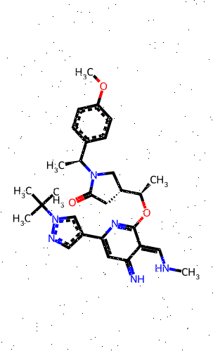 CN/C=C1\C(=N)C=C(c2cnn(C(C)(C)C)c2)N=C1O[C@H](C)[C@@H]1CC(=O)N([C@@H](C)c2ccc(OC)cc2)C1